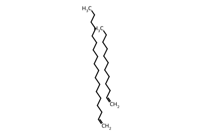 C=CCCCCCCCCCC.C=CCCCCCCCCCCCCCCCC